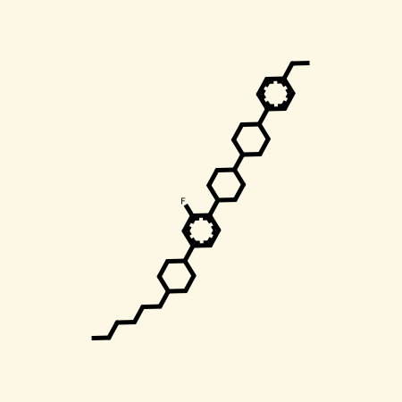 CCCCCCC1CCC(c2ccc(C3CCC(C4CCC(c5ccc(CC)cc5)CC4)CC3)c(F)c2)CC1